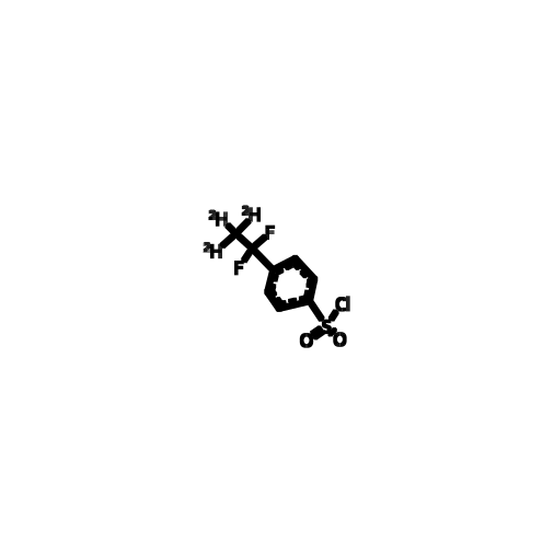 [2H]C([2H])([2H])C(F)(F)c1ccc(S(=O)(=O)Cl)cc1